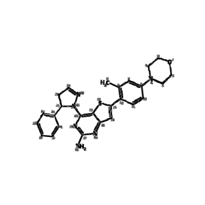 Cc1cc(N2CCOCC2)ccc1-c1cc2nc(N)nc(N3N=CCC3c3ccccc3)c2s1